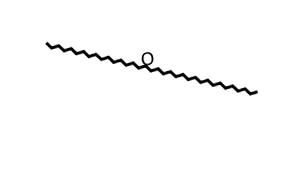 CCCCCCCCCCCCCCCCCCC(=O)CCCCCCCCCCCCCCCC